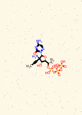 CC#CC1(N)[C@@H](O)[C@@H]([C@H](C)OP(=O)(O)OP(=O)(O)OP(=O)(O)O)O[C@H]1n1ncc(N)nc1=O